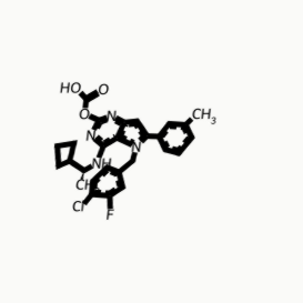 Cc1cccc(-c2cc3nc(OC(=O)O)nc(N[C@H](C)C4CCC4)c3n2Cc2ccc(Cl)c(F)c2)c1